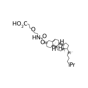 CC(C)CCC[C@@H](C)C1CC[C@H]2[C@@H]3CC=C4C[C@@H](OC(=O)NCCOCCC(=O)O)CC[C@]4(C)[C@H]3CC[C@]12C